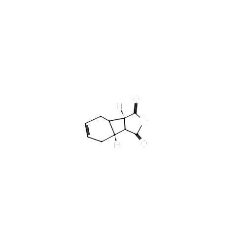 O=C1OC(=O)[C@H]2C3CC=CC[C@H]3C12